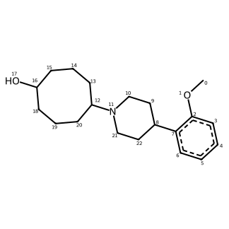 COc1ccccc1C1CCN(C2CCCC(O)CCC2)CC1